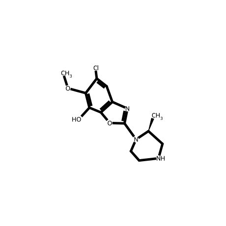 COc1c(Cl)cc2nc(N3CCNC[C@@H]3C)oc2c1O